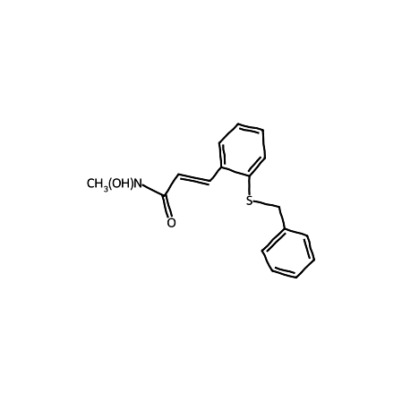 CN(O)C(=O)/C=C/c1ccccc1SCc1ccccc1